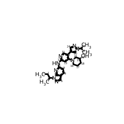 CCC(C)n1ncc2ccc(Nc3cc(N4CCC[C@H](O)C4)c(-c4cnn(C(C)C)c4)cn3)nc21